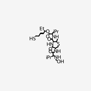 CCC(/C=C/CCS)OC(=O)C(NC(=O)C1NC(=O)C(NC(=O)C(NCO)C(C)C)CSC1C)C(C)C